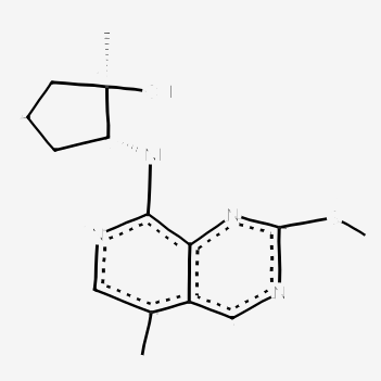 CSc1ncc2c(C)cnc(N[C@@H]3CCC[C@@]3(C)O)c2n1